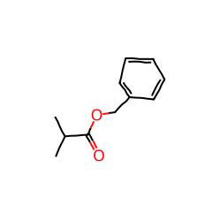 CC(C)C(=O)OCc1ccccc1